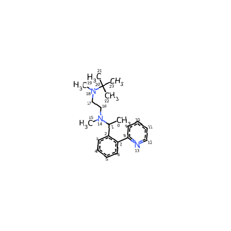 CC(c1ccccc1-c1ccccn1)N(C)CCN(C)C(C)(C)C